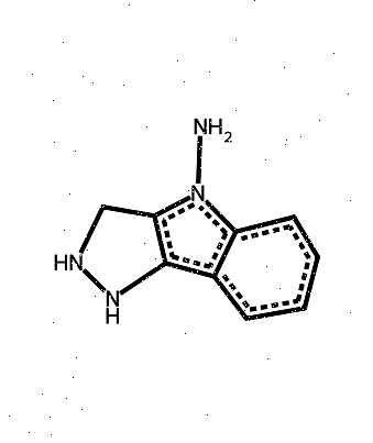 Nn1c2c(c3ccccc31)NNC2